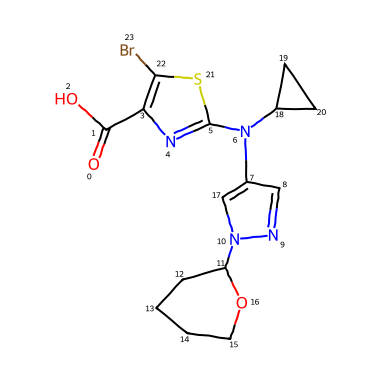 O=C(O)c1nc(N(c2cnn(C3CCCCO3)c2)C2CC2)sc1Br